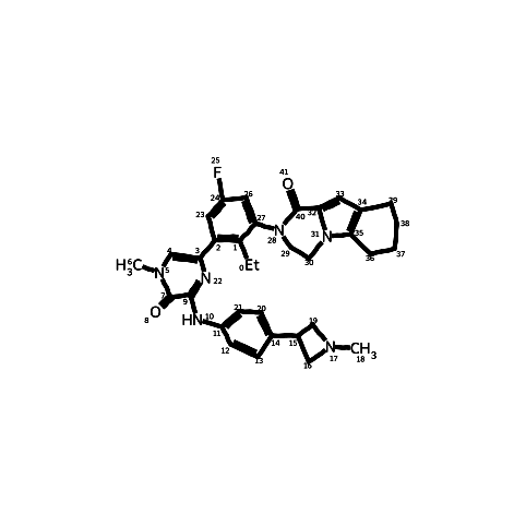 CCc1c(-c2cn(C)c(=O)c(Nc3ccc(C4CN(C)C4)cc3)n2)cc(F)cc1N1CCn2c(cc3c2CCCC3)C1=O